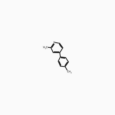 Cc1ccc(-c2ccnc(C)c2)cc1